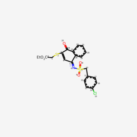 CCOC(=O)CSC1=C/C(=N/S(=O)(=O)Cc2ccc(Cl)cc2)c2ccccc2C1=O